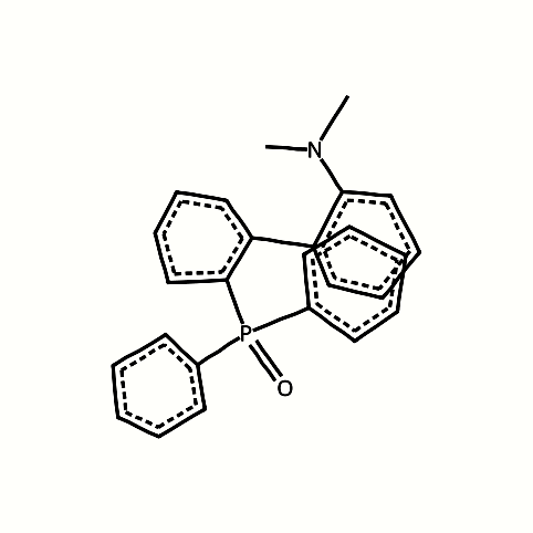 CN(C)c1ccccc1-c1ccccc1P(=O)(c1ccccc1)c1ccccc1